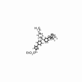 C=CCN1CCN(C(c2ccc(-c3nc(CC(=O)OCC)cs3)cc2)c2cccc(O[Si](C)(C)C(C)(C)C)c2)CC1